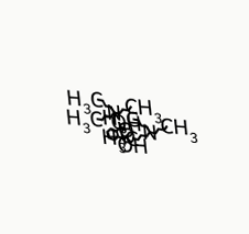 CCCCN(CCCC)CCCC.CCCCN(CCCC)CCCC.O=C(O)c1ccccc1C(=O)O